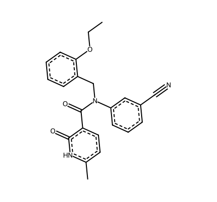 CCOc1ccccc1CN(C(=O)c1ccc(C)[nH]c1=O)c1cccc(C#N)c1